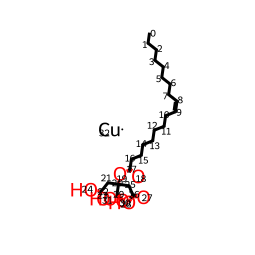 CCCCCCCC/C=C\CCCCCCCC(=O)OC(CC(=O)O)(CC(=O)O)C(=O)O.[Cu]